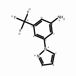 Nc1cc(-n2cccn2)cc(C(F)(F)F)c1